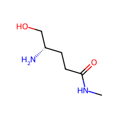 CNC(=O)CC[C@H](N)CO